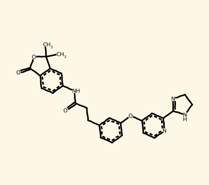 CC1(C)OC(=O)c2ccc(NC(=O)CCc3cccc(Oc4ccnc(C5=NCCN5)c4)c3)cc21